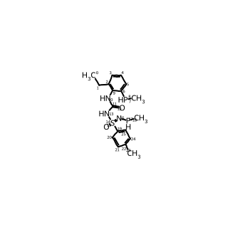 CCc1cccc(PC)c1NC(=O)NS(=O)(=NPC)c1ccc(C)cc1